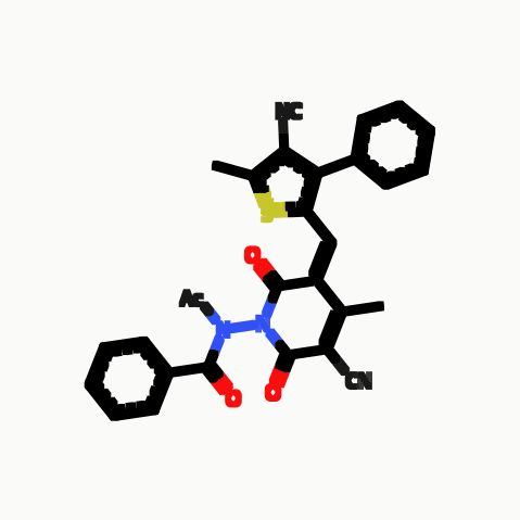 [C-]#[N+]c1c(C)sc(/C=C2\C(=O)N(N(C(C)=O)C(=O)c3ccccc3)C(=O)C(C#N)=C2C)c1-c1ccccc1